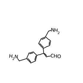 NCc1ccc(C(=CC=O)c2ccc(CN)cc2)cc1